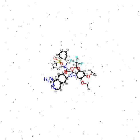 CCOc1cc(C(Nc2ccc3c(N)nccc3c2)(OC(=O)C(F)(F)F)C(=O)N(C)Cc2ccccc2S(=O)(=O)C2CCC2)ccc1OC(C)C